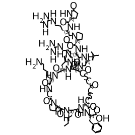 CCCC[C@@H]1NC(=O)[C@H]2CCCN2C(=O)CNC(=O)[C@@H](CCCCN)NC(=O)[C@@H](Cc2cnc[nH]2)NC(=O)[C@@H](NC(=O)[C@@H](CC(C)C)NC(=O)[C@H](CCCNC(=N)N)NC(=O)[C@H]2CCCN2C(=O)[C@H](CCCNC(=N)N)NC(=O)[C@H]2CCC(=O)N2)CSCC(=O)CSC[C@@H](C(=O)N[C@H](Cc2ccccc2)C(=O)O)NC1=O